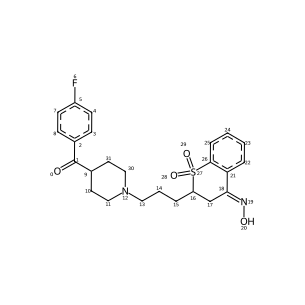 O=C(c1ccc(F)cc1)C1CCN(CCCC2CC(=NO)c3ccccc3S2(=O)=O)CC1